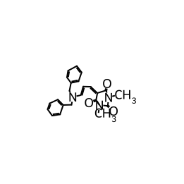 CN1C(=O)C(=C/C=C/N(Cc2ccccc2)Cc2ccccc2)C(=O)N(C)C1=O